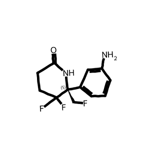 Nc1cccc([C@@]2(CF)NC(=O)CCC2(F)F)c1